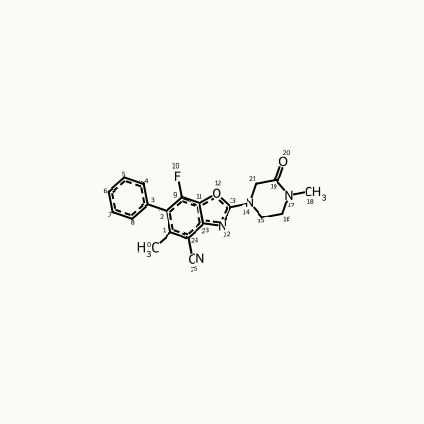 Cc1c(-c2ccccc2)c(F)c2oc(N3CCN(C)C(=O)C3)nc2c1C#N